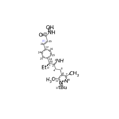 CC[C@H](C(=N)CCc1c(C)nn(C(C)(C)C)c1C)c1ccc(/C=C/C(=O)NO)cc1